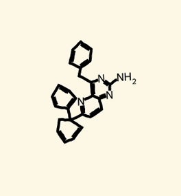 Nc1nc(Cc2ccccc2)c2nc(C3(c4ccccc4)C=CC=CC3)ccc2n1